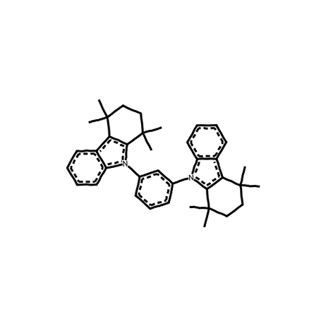 CC1(C)CCC(C)(C)c2c1c1ccccc1n2-c1cccc(-n2c3c(c4ccccc42)C(C)(C)CCC3(C)C)c1